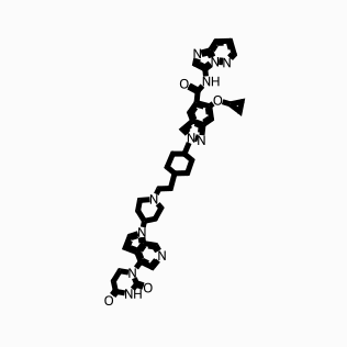 O=C1CCN(c2cncc3c2ccn3C2CCN(CCC3CCC(n4cc5cc(C(=O)Nc6cnc7cccnn67)c(OC6CC6)cc5n4)CC3)CC2)C(=O)N1